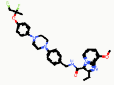 CCc1nc2c(OC)cccn2c1C(=O)NCc1ccc(N2CCN(c3ccc(OC(C)(F)CF)cc3)CC2)cc1